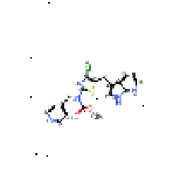 CC(C)(C)OC(=O)N(Cc1ccncc1)c1nc(Cl)c(Cc2c[nH]c3ncccc23)s1